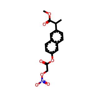 COC(=O)C(C)c1ccc2cc(OC(=O)CO[N+](=O)[O-])ccc2c1